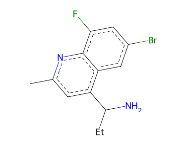 CCC(N)c1cc(C)nc2c(F)cc(Br)cc12